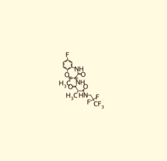 CC(C(=O)NCC(F)(F)C(F)(F)F)C(=O)N[C@@H]1C(=O)Nc2cc(F)ccc2O[C@@H]1C